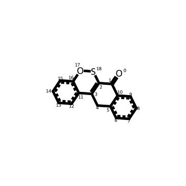 O=C1C2=C(Cc3ccccc31)c1ccccc1OS2